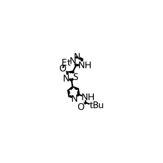 CCOc1nc(-c2ccnc(NC(=O)C(C)(C)C)c2)sc1-c1nnc[nH]1